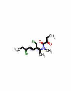 CCC(=O)C(=O)N(C)/C(C)=C(/C=C/C(Br)CC)CF